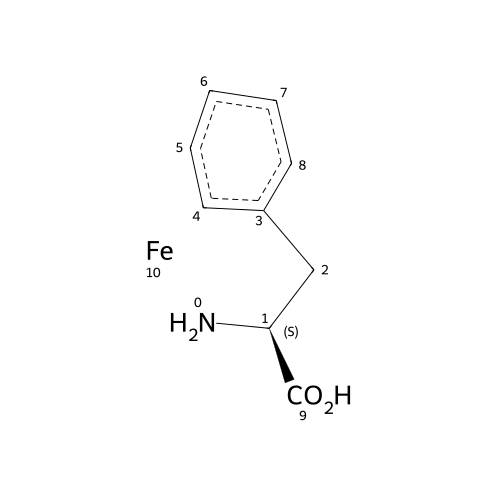 N[C@@H](Cc1ccccc1)C(=O)O.[Fe]